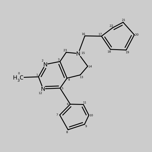 Cc1nc2c(c(-c3ccccc3)n1)CCN(Cc1ccccc1)C2